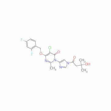 Cc1nc(OCc2ccc(F)cc2F)c(Cl)c(=O)n1-c1cn(C(=O)CC(C)(C)O)cn1